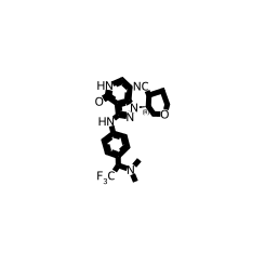 CN(C)C(c1ccc(Nc2nn([C@H]3COCCC3C#N)c3cc[nH]c(=O)c23)cc1)C(F)(F)F